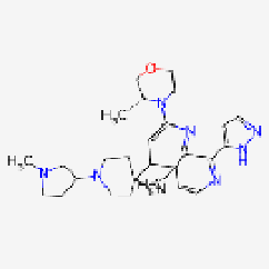 C[C@@H]1COCCN1C1=CC(C2(C#N)CCN(C3CCN(C)C3)CC2)C2(C)C=CN=C(c3ccn[nH]3)C2=N1